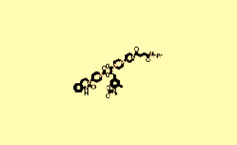 CCCOC(=O)CCC(=O)N1CCC(N2CCN(C(=O)[C@@H](Cc3cc(C)c4c(c3)oc(=O)n4C)OC(=O)N3CCC(N4CCc5ccccc5NC4=O)CC3)CC2)CC1